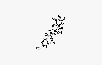 N#Cc1cc(C(F)(F)F)ccc1S(=O)(=O)N1CC(Oc2ccc(F)c(F)c2F)[C@](O)(CO)C1